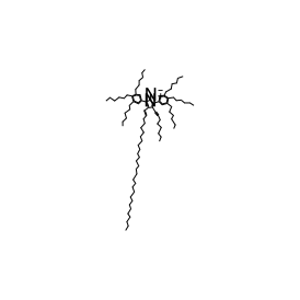 CCCCCCC#CC1=C(c2cc(CCCCCC)c(CCCCCC)c(CCCCCC)c2)[N+](=[N-])C(c2cc(CCCCCC)c(CCCCCC)c(CCCCCC)c2)=C1C=CCCCCCCCCCCCCCCCCCCCCCCCCCCC